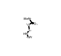 CCCNSOC(=O)NC